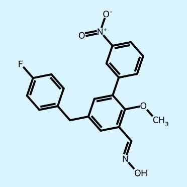 COc1c(C=NO)cc(Cc2ccc(F)cc2)cc1-c1cccc([N+](=O)[O-])c1